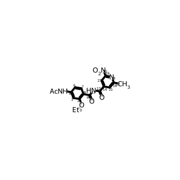 CCOc1cc(NC(C)=O)ccc1C(=O)NC(=O)c1cc(C)nc([N+](=O)[O-])c1